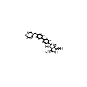 C=C(N)[C@H](NC(=O)c1ccc(-c2ccc(CN3CCCOCC3)cc2)cc1)C(=O)NO